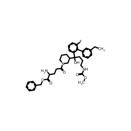 CCc1cccc(-c2c(F)cccc2C(O)(CCCNC(=O)OC)C2CCCN(C(=O)CCC(N)C(=O)OCc3ccccc3)C2)c1